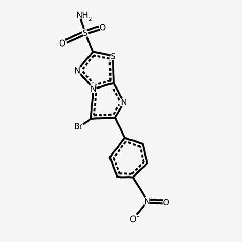 NS(=O)(=O)c1nn2c(Br)c(-c3ccc([N+](=O)[O-])cc3)nc2s1